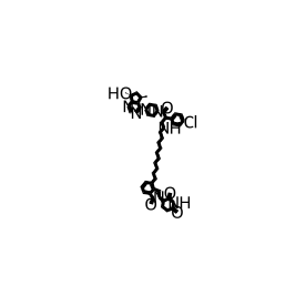 C[C@@H]1C[C@@H](O)c2ncnc(N3CCN(C(=O)C(CNCCCCCCCCCCc4cccc5c4CN(C4CCC(=O)NC4=O)C5=O)c4ccc(Cl)cc4)CC3)c21